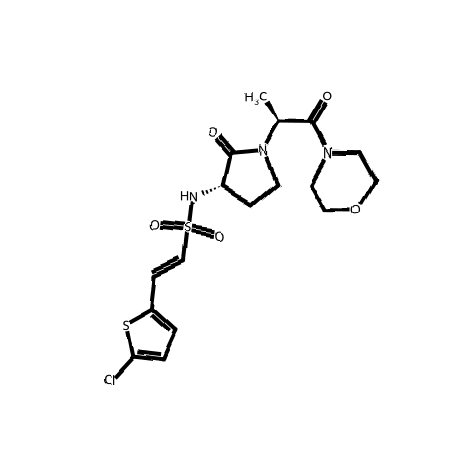 C[C@@H](C(=O)N1CCOCC1)N1CC[C@H](NS(=O)(=O)/C=C/c2ccc(Cl)s2)C1=O